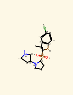 Cc1c(S(=O)(=O)C2CCCN2C2CCNC2)sc2ccc(Br)cc12